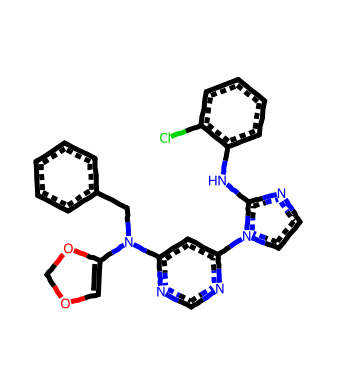 Clc1ccccc1Nc1nccn1-c1cc(N(Cc2ccccc2)C2=COCO2)ncn1